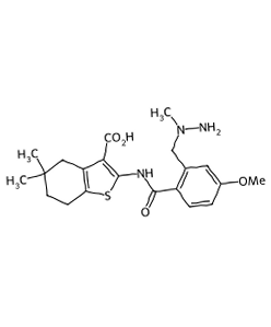 COc1ccc(C(=O)Nc2sc3c(c2C(=O)O)CC(C)(C)CC3)c(CN(C)N)c1